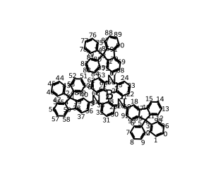 c1ccc(C2(c3ccccc3)c3ccccc3-c3cc(N4c5cccc6c5B5c7c4cccc7N(c4ccc7c(c4)C(c4ccccc4)(c4ccccc4)c4ccccc4-7)c4cccc(c45)N6c4ccc5c(c4)C(c4ccccc4)(c4ccccc4)c4ccccc4-5)ccc32)cc1